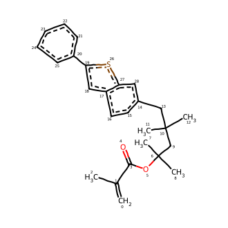 C=C(C)C(=O)OC(C)(C)CC(C)(C)Cc1ccc2cc(-c3ccccc3)sc2c1